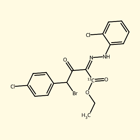 CCO[13C](=O)C(=NNc1ccccc1Cl)C(=O)C(Br)c1ccc(Cl)cc1